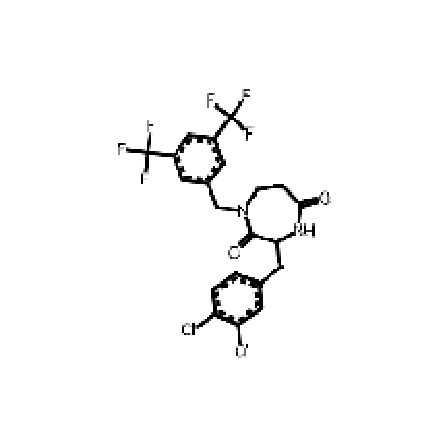 O=C1CCN(Cc2cc(C(F)(F)F)cc(C(F)(F)F)c2)C(=O)C(Cc2ccc(Cl)c(Cl)c2)N1